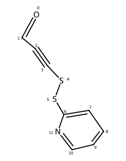 O=[C]C#CSSc1ccccn1